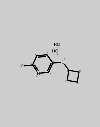 Cl.Cl.Fc1ccc(OC2CCC2)cn1